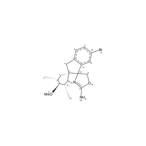 CO[C@H]1[C@H](C)C[C@@]2(Cc3ccc(Br)cc3C23COC(N)=N3)C[C@@H]1C